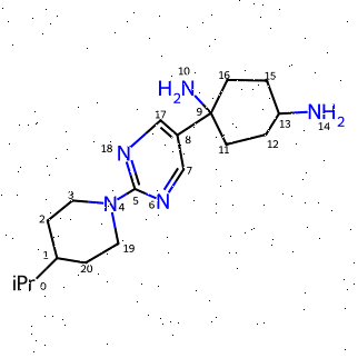 CC(C)C1CCN(c2ncc(C3(N)CCC(N)CC3)cn2)CC1